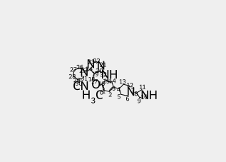 Cc1cc(C2CCN(C3CNC3)CC2)cc2c1OCc1c(ncnc1N1CCCC(C#N)C1)N2